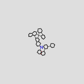 c1ccc(-c2ccc(N(c3ccccc3)c3ccc4cc5c(cc4c3)C3(c4ccccc4-c4ccccc43)c3ccc4ccccc4c3-5)c(-c3ccccc3)c2)cc1